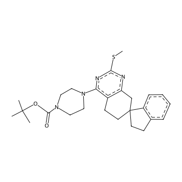 CSc1nc2c(c(N3CCN(C(=O)OC(C)(C)C)CC3)n1)CCC1(CCc3ccccc31)C2